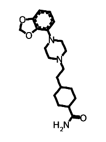 NC(=O)C1CCC(CCN2CCN(c3cccc4c3OCO4)CC2)CC1